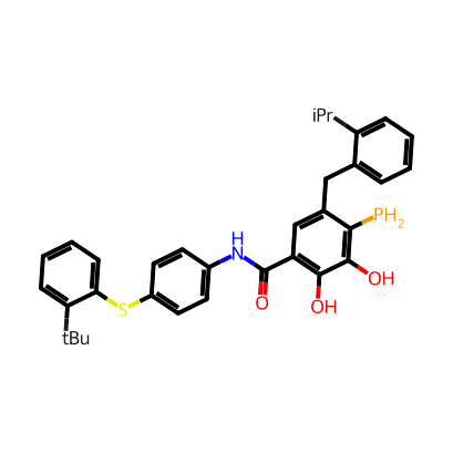 CC(C)c1ccccc1Cc1cc(C(=O)Nc2ccc(Sc3ccccc3C(C)(C)C)cc2)c(O)c(O)c1P